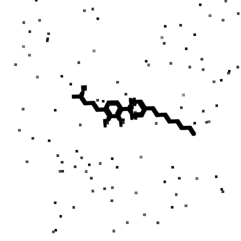 CCCCCCCCc1cnc(-c2ccc(CCCC(C)F)c(F)c2F)nc1